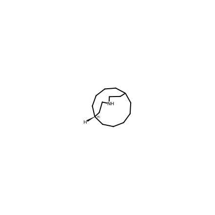 C1CCC2CCCC[C@@H](CC1)CCNCC2